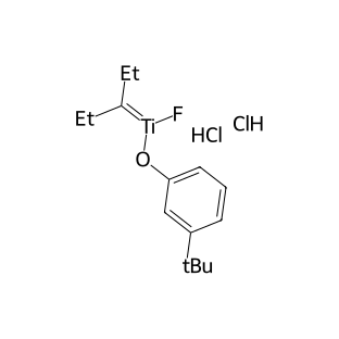 CC[C](CC)=[Ti]([F])[O]c1cccc(C(C)(C)C)c1.Cl.Cl